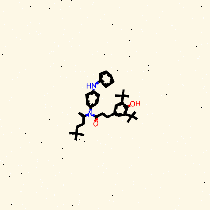 CC(CCC(C)(C)C)N(C(=O)CCc1cc(C(C)(C)C)c(O)c(C(C)(C)C)c1)c1ccc(Nc2ccccc2)cc1